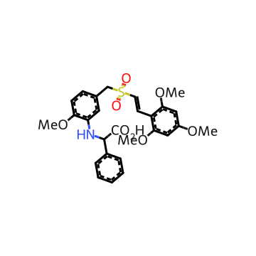 COc1cc(OC)c(C=CS(=O)(=O)Cc2ccc(OC)c(NC(C(=O)O)c3ccccc3)c2)c(OC)c1